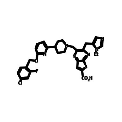 CCn1cncc1Cc1nc2sc(C(=O)O)cc2nc1CN1CCC(c2cccc(OCc3ccc(Cl)cc3F)n2)CC1